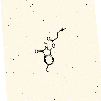 CC(C)CCC(=O)OC1NC(=O)c2cc(Cl)ccc21